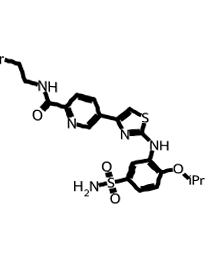 CC(C)CCNC(=O)c1ccc(-c2csc(Nc3cc(S(N)(=O)=O)ccc3OC(C)C)n2)cn1